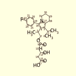 CC(C)c1c(C(C)CO[PH](=O)CC(O)CC(=O)O)c(-c2ccc(F)cc2)n2c1CCCC2